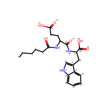 CCCCCC(=O)NC(CCC(=O)O)C(=O)NC(Cc1c[nH]c2ccccc12)C(=O)O